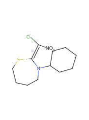 O=[N+]([O-])/C(Cl)=C1/SCCCCN1C1CCCCC1